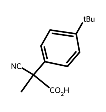 CC(C)(C)c1ccc(C(C)(C#N)C(=O)O)cc1